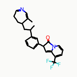 CC1=CN=CCCC1CC(C)c1cccc(C2C=C3C(C(F)(F)F)=CC=CN3C2=O)c1